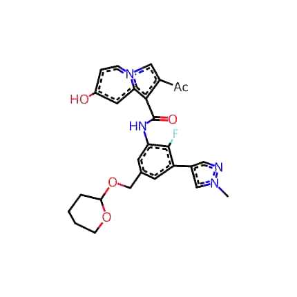 CC(=O)c1cn2ccc(O)cc2c1C(=O)Nc1cc(COC2CCCCO2)cc(-c2cnn(C)c2)c1F